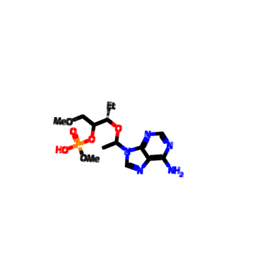 CC[C@H](OC(C)n1cnc2c(N)ncnc21)C(COC)OP(=O)(O)OC